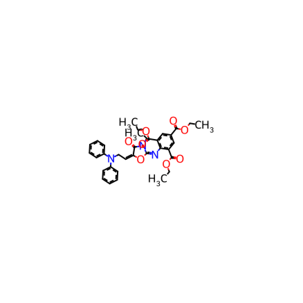 CCOC(=O)c1cc(C(=O)OCC)c(/N=C2/O/C(=C/CN(c3ccccc3)c3ccccc3)C(=O)N2CC)c(C(=O)OCC)c1